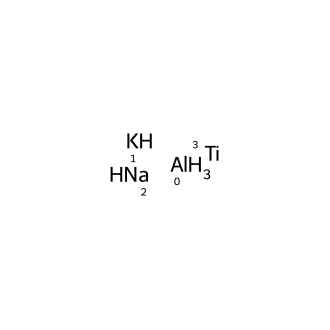 [AlH3].[KH].[NaH].[Ti]